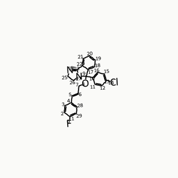 Fc1ccc(/C=C/COC2(c3ccc(Cl)cc3)c3ccccc3C3=NCCN32)cc1